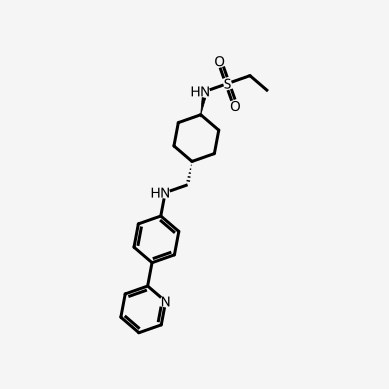 CCS(=O)(=O)N[C@H]1CC[C@H](CNc2ccc(-c3ccccn3)cc2)CC1